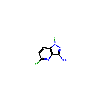 Nc1nn(Br)c2ccc(Cl)nc12